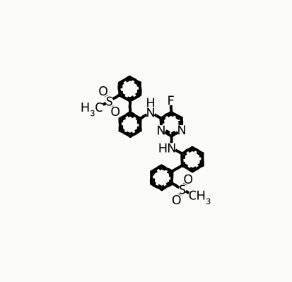 CS(=O)(=O)c1ccccc1-c1ccccc1Nc1ncc(F)c(Nc2ccccc2-c2ccccc2S(C)(=O)=O)n1